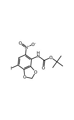 CC(C)(C)OC(=O)Nc1c([N+](=O)[O-])cc(I)c2c1OCO2